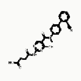 CN(C(=O)c1cnc(NC(=O)CCC(=O)O)nc1O)c1ccc(-c2ccccc2C#N)cc1